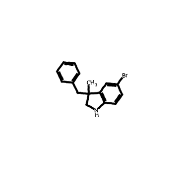 CC1(Cc2ccccc2)CNc2ccc(Br)cc21